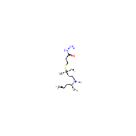 C=CCC(C)N(CCC(C)(CCCC)SCCC(=O)NN)C(C)=O